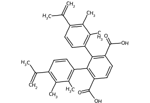 C=C(C)c1ccc(-c2c(C(=O)O)ccc(C(=O)O)c2-c2ccc(C(=C)C)c(C)c2C)c(C)c1C